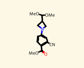 COC(=O)c1ccc(N2CC(C(OC)OC)C2)cc1C#N